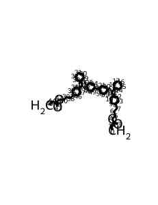 C=CC(=O)OCCCc1ccc(N(c2ccccc2)c2ccc(-c3ccc(N(c4ccccc4)c4ccc(CCCOC(=O)C=C)cc4)cc3)cc2)cc1